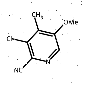 COc1cnc(C#N)c(Cl)c1C